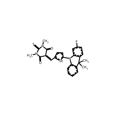 CN1C(=O)C(=Cc2ccc(N3c4ccccc4C(C)(C)c4ccc(F)cc43)[se]2)C(=O)N(C)C1=S